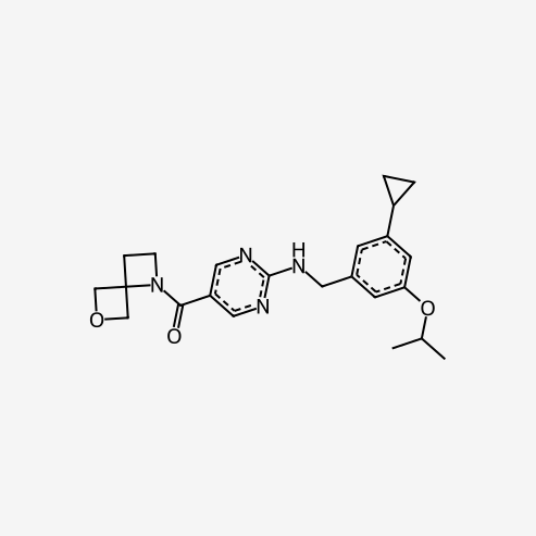 CC(C)Oc1cc(CNc2ncc(C(=O)N3CCC34COC4)cn2)cc(C2CC2)c1